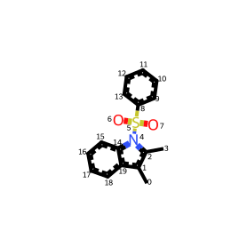 Cc1c(C)n(S(=O)(=O)c2ccccc2)c2ccccc12